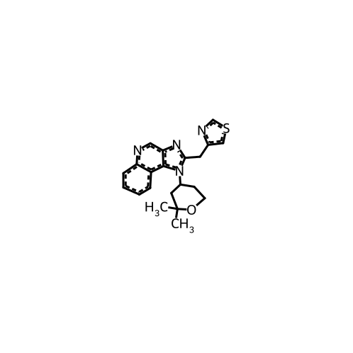 CC1(C)CC(n2c(Cc3cscn3)nc3cnc4ccccc4c32)CCO1